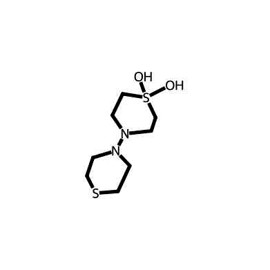 OS1(O)CCN(N2CCSCC2)CC1